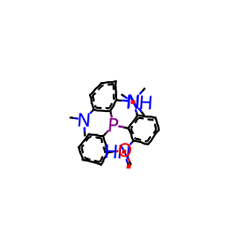 CNc1cccc(NC)c1P(c1ccccc1OC)c1c(N(C)C)cccc1N(C)C